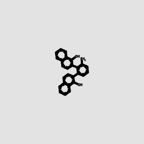 Oc1c(-c2cccc(P)c2-c2ccc3ccccc3c2O)ccc2ccccc12